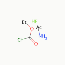 CC(N)=O.CCOC(=O)Cl.F